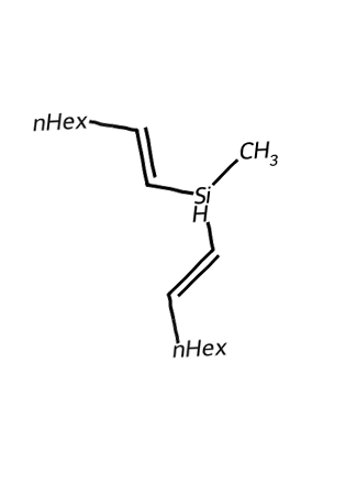 CCCCCCC=C[SiH](C)C=CCCCCCC